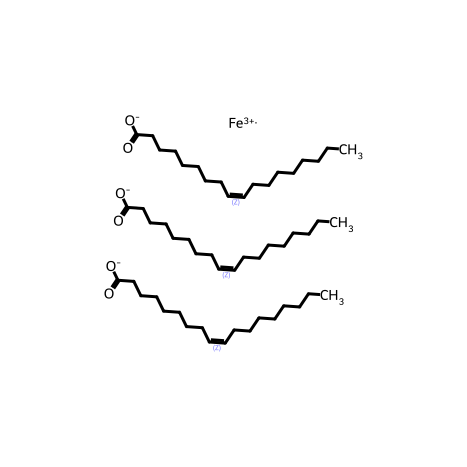 CCCCCCCC/C=C\CCCCCCCC(=O)[O-].CCCCCCCC/C=C\CCCCCCCC(=O)[O-].CCCCCCCC/C=C\CCCCCCCC(=O)[O-].[Fe+3]